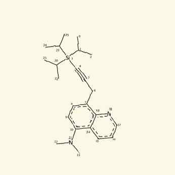 CC(C)[Si](C#CCc1ccc(N(C)C)c2cccnc12)(C(C)C)C(C)C